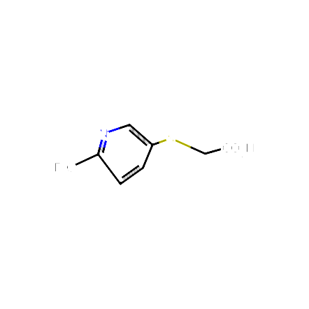 O=C(O)CSc1ccc(C(F)(F)F)nc1